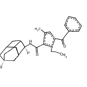 CCn1c(C(=O)c2ccccc2)cc(C)c1C(=O)N[C@H]1C2CC3CC1C[C@](O)(C3)C2